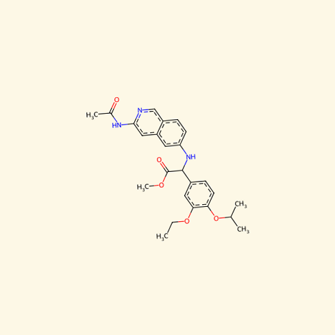 CCOc1cc(C(Nc2ccc3cnc(NC(C)=O)cc3c2)C(=O)OC)ccc1OC(C)C